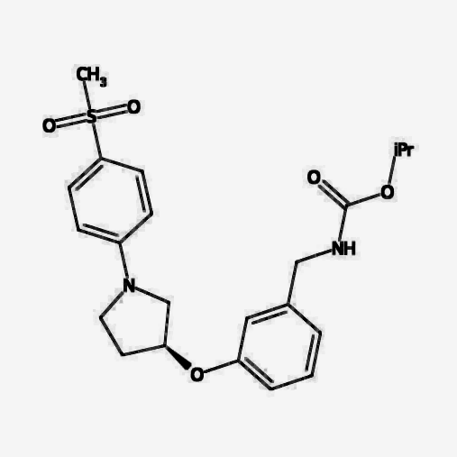 CC(C)OC(=O)NCc1cccc(O[C@H]2CCN(c3ccc(S(C)(=O)=O)cc3)C2)c1